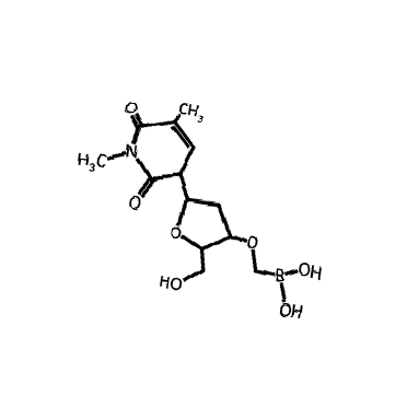 CC1=CC(C2CC(OCB(O)O)C(CO)O2)C(=O)N(C)C1=O